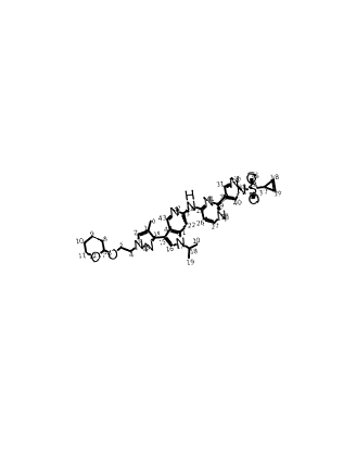 Cc1cn(CCOC2CCCCO2)nc1-c1cn(C(C)C)c2cc(Nc3ccnc(-c4cnn(S(=O)(=O)C5CC5)c4)n3)ncc12